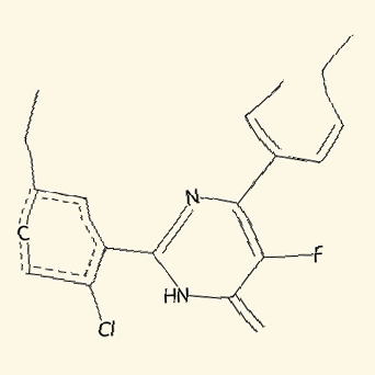 C=C1NC(c2cc(CC)ccc2Cl)=NC(C(/C=C\CC)=C/C)=C1F